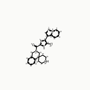 O=C(c1nc(-c2cnn3ccccc23)c(Cl)s1)N1Cc2ccccc2C2(CCNCC2)C1